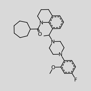 COc1cc(F)ccc1N1CCN(C(C)c2cccc3c2N(C(=O)C2CCCCCC2)CCC3)CC1